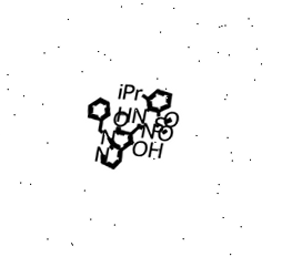 CC(C)c1cccc2c1NC(c1c(O)c3cccnc3n(Cc3ccccc3)c1=O)=NS2(=O)=O